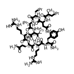 CC(C)C[C@H](NC(=O)C(CC(N)=O)NC(=O)[C@@H](C)CC(C)C)C(=O)N[C@H](C(=O)N[C@H](C(=O)N[C@@H](CCCNC(=N)N)C(=O)N[C@@H](CCC(N)=O)C(=O)N[C@@H](CCCNC(=N)N)C(=O)N[C@@H](Cc1ccc(O)cc1)C(N)=O)[C@@H](C)O)C(C)C